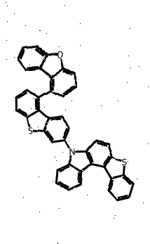 c1ccc2c(c1)oc1cccc(-c3cccc4sc5cc(-n6c7ccccc7c7c8c(ccc76)sc6ccccc68)ccc5c34)c12